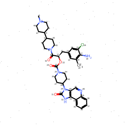 CN1CCC(C2CCN(C(=O)[C@@H](Cc3cc(Cl)c(N)c(C(F)(F)F)c3)OC(=O)N3CCC(n4c(=O)[nH]c5c6ccccc6ncc54)CC3)CC2)CC1